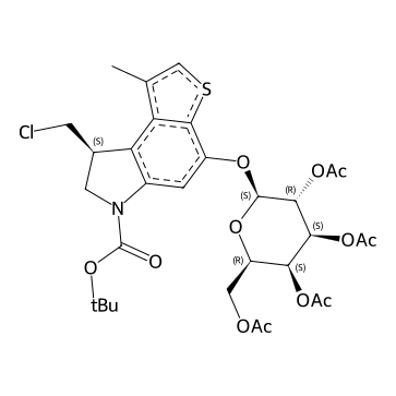 CC(=O)OC[C@H]1O[C@@H](Oc2cc3c(c4c(C)csc24)[C@H](CCl)CN3C(=O)OC(C)(C)C)[C@H](OC(C)=O)[C@@H](OC(C)=O)[C@H]1OC(C)=O